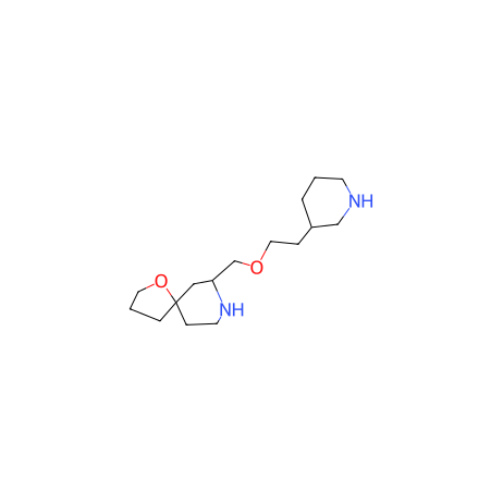 C1CNCC(CCOCC2CC3(CCCO3)CCN2)C1